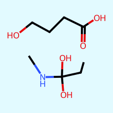 CCC(O)(O)NC.O=C(O)CCCO